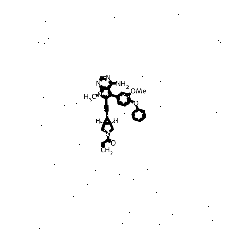 C=CC(=O)N1C[C@@H]2C(C#Cc3c(-c4ccc(Oc5ccccc5)c(OC)c4)c4c(N)ncnc4n3C)[C@@H]2C1